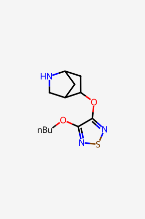 CCCCOc1nsnc1OC1CC2CC1CN2